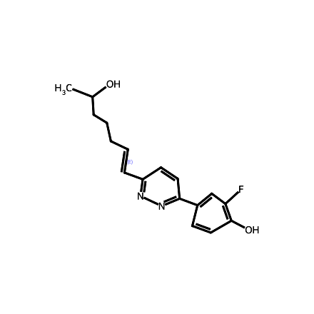 CC(O)CCC/C=C/c1ccc(-c2ccc(O)c(F)c2)nn1